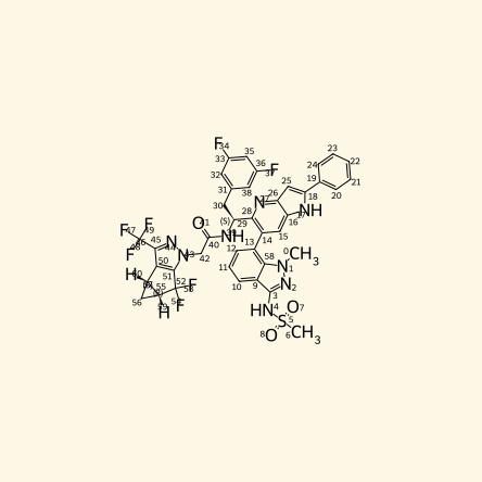 Cn1nc(NS(C)(=O)=O)c2cccc(-c3cc4[nH]c(-c5ccccc5)cc4nc3[C@H](Cc3cc(F)cc(F)c3)NC(=O)Cn3nc(C(F)(F)F)c4c3C(F)(F)[C@@H]3C[C@H]43)c21